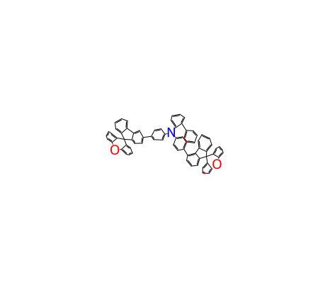 c1ccc(-c2ccccc2N(c2ccc(-c3ccc4c(c3)-c3ccccc3C43c4ccccc4Oc4ccccc43)cc2)c2ccc(-c3cccc4c3-c3ccccc3C43c4ccccc4Oc4ccccc43)cc2)cc1